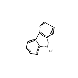 [Li+].[c-]1cccc2sc3ccccc3c12